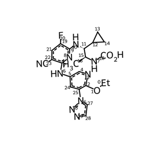 CCOc1ncc(Nc2nc(N[C@H](C3CC3)[C@H](C)NC(=O)O)c(F)cc2C#N)cc1-n1ccnn1